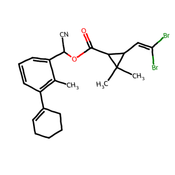 Cc1c(C2=CCCCC2)cccc1C(C#N)OC(=O)C1C(C=C(Br)Br)C1(C)C